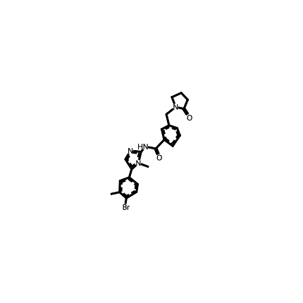 Cc1cc(-c2cnc(NC(=O)c3cccc(CN4CCCC4=O)c3)n2C)ccc1Br